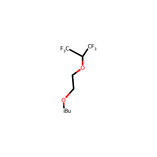 CCC(C)OCCOC(C(F)(F)F)C(F)(F)F